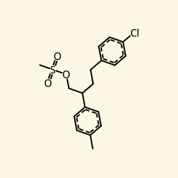 Cc1ccc(C(CCc2ccc(Cl)cc2)COS(C)(=O)=O)cc1